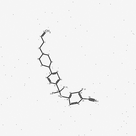 C=CCCC1CCC(c2ccc(C(F)(F)Oc3ccc(C#N)c(F)c3)cc2)CC1